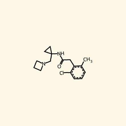 Cc1cccc(Cl)c1CC(=O)NC1(CN2CCC2)CC1